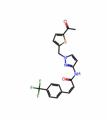 CC(=O)c1ccc(Cn2ccc(NC(=O)/C=C\c3ccc(C(F)(F)F)cc3)n2)s1